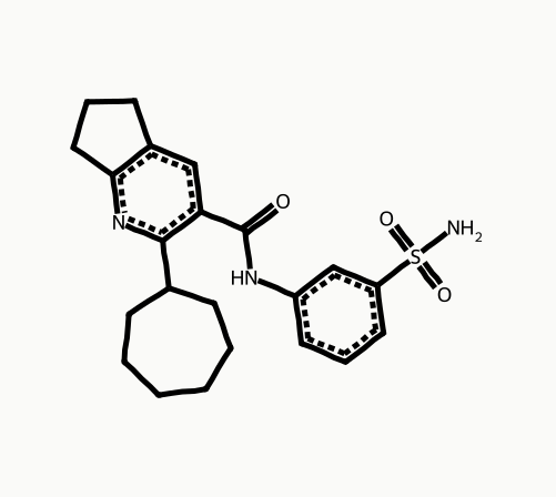 NS(=O)(=O)c1cccc(NC(=O)c2cc3c(nc2C2CCCCCC2)CCC3)c1